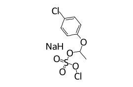 CC(Oc1ccc(Cl)cc1)OS(=O)(=O)OCl.[NaH]